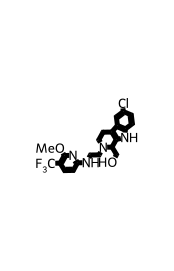 COc1nc(NCCN2CCc3c([nH]c4ccc(Cl)cc34)C2CO)ccc1C(F)(F)F